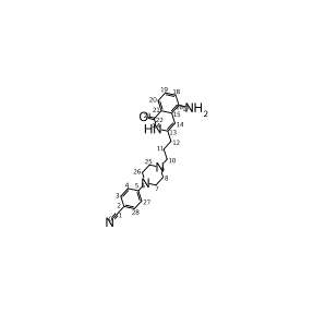 N#Cc1ccc(N2CCN(CCCc3cc4c(N)cccc4c(=O)[nH]3)CC2)cc1